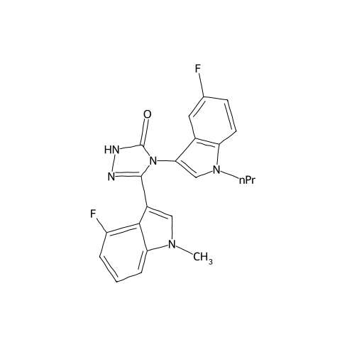 [CH2]CCn1cc(-n2c(-c3cn(C)c4cccc(F)c34)n[nH]c2=O)c2cc(F)ccc21